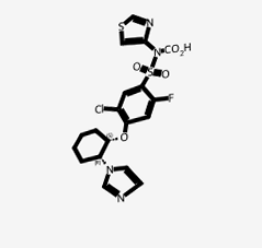 O=C(O)N(c1cscn1)S(=O)(=O)c1cc(Cl)c(O[C@H]2CCCC[C@H]2n2ccnc2)cc1F